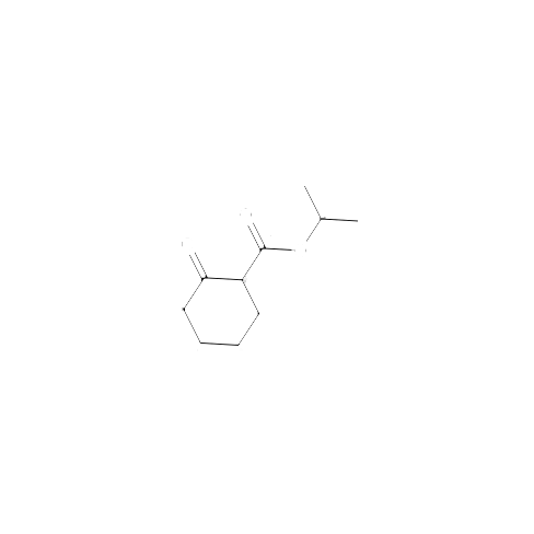 CC(C)OC(=O)C1CCCCC1=O